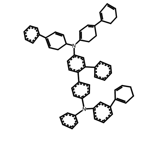 C1=CCCC(C2=CC=C(N(c3ccc(-c4ccc(N(c5ccccc5)c5cccc(C6=CCCC=C6)c5)cc4)c(-c4ccccc4)c3)C3C=CC(c4ccccc4)=CC3)CC2)=C1